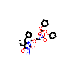 CCc1c(Cc2ccccc2)n(COCCN(OC(=O)Oc2ccccc2)C(=O)Oc2ccccc2)c(=O)[nH]c1=O